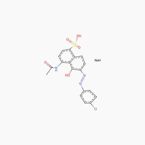 CC(=O)Nc1ccc(S(=O)(=O)O)c2ccc(N=Nc3ccc(Cl)cc3)c(O)c12.[NaH]